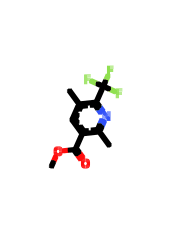 COC(=O)c1cc(C)c(C(F)(F)F)nc1C